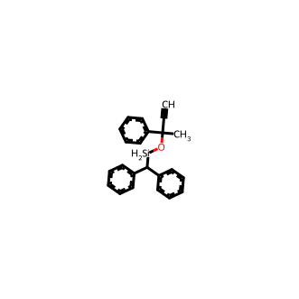 C#CC(C)(O[SiH2]C(c1ccccc1)c1ccccc1)c1ccccc1